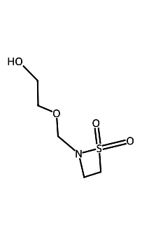 O=S1(=O)CCN1COCCO